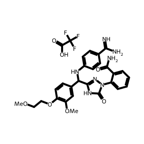 COCCOc1ccc(C(Nc2ccc(C(=N)N)cc2)c2nn(-c3ccccc3C(N)=O)c(=O)[nH]2)cc1OC.O=C(O)C(F)(F)F